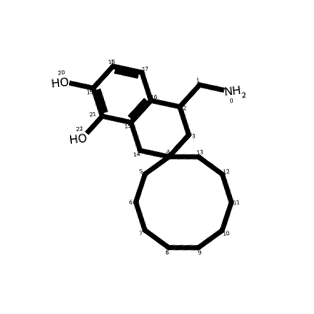 NCC1CC2(CCCCCCCCC2)Cc2c1ccc(O)c2O